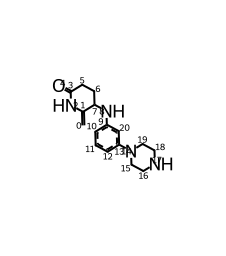 C=C1NC(=O)CCC1Nc1cccc(N2CCNCC2)c1